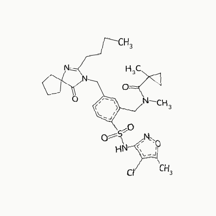 CCCCC1=NC2(CCCC2)C(=O)N1Cc1ccc(S(=O)(=O)Nc2noc(C)c2Cl)c(CN(C)C(=O)C2(C)CC2)c1